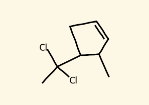 CC1C=CCC1C(C)(Cl)Cl